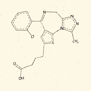 Cc1nnc2n1-c1sc(CCCC(=O)O)cc1C(c1ccccc1Cl)=NC2